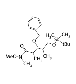 CON(C)C(=O)C(C)C(OCc1ccccc1)C(C)CO[Si](C)(C)C(C)(C)C